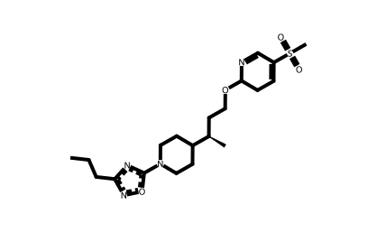 CCCc1noc(N2CCC([C@H](C)CCOC3CC=C(S(C)(=O)=O)C=N3)CC2)n1